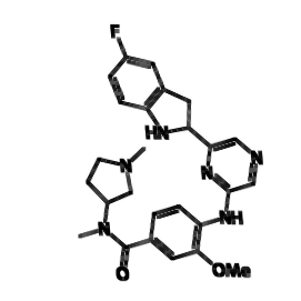 COc1cc(C(=O)N(C)C2CCN(C)C2)ccc1Nc1cncc(C2Cc3cc(F)ccc3N2)n1